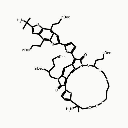 CCCCCCCCCCCCc1c2cc(C(C)(C)N)sc2c(CCCCCCCCCCCC)c2cc(-c3ccc(C4=c5cc6c7cc5N(CC(CCCCCCCCCCCC)CCCCCCCCCCC(C)(N)c5ccc(s5)C=7C(=O)N6CC(CCCCCCCCCC)CCCCCCCCCCCC)C4=O)s3)sc12